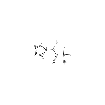 CCC(C)(C)C(=O)C(Br)n1cncn1